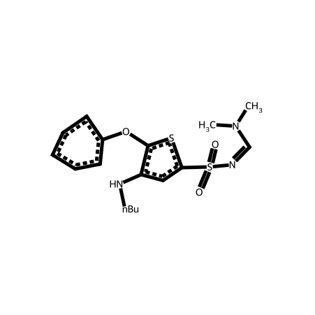 CCCCNc1cc(S(=O)(=O)/N=C\N(C)C)sc1Oc1ccccc1